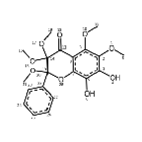 COc1c(O)c(O)c2c(c1OC)C(=O)C(OC)(OC)C(OC)(c1ccccc1)O2